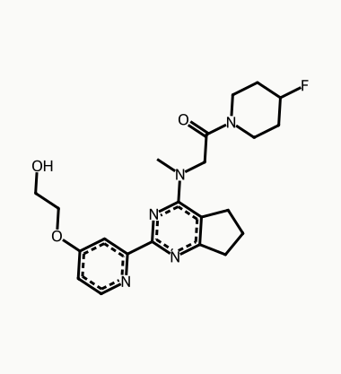 CN(CC(=O)N1CCC(F)CC1)c1nc(-c2cc(OCCO)ccn2)nc2c1CCC2